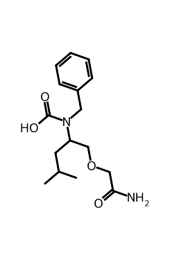 CC(C)CC(COCC(N)=O)N(Cc1ccccc1)C(=O)O